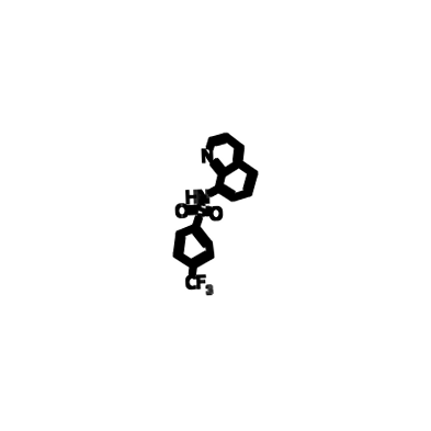 O=S(=O)(Nc1cccc2cccnc12)c1ccc(C(F)(F)F)cc1